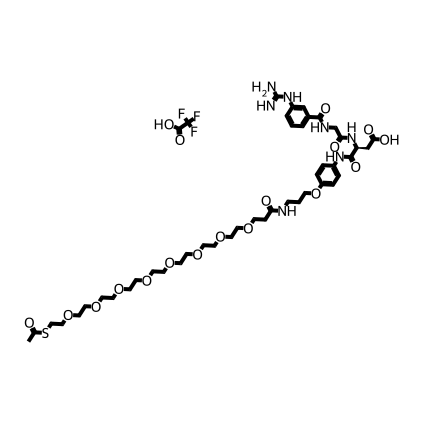 CC(=O)SCCOCCOCCOCCOCCOCCOCCOCCOCCC(=O)NCCCOc1ccc(NC(=O)[C@H](CC(=O)O)NC(=O)CNC(=O)c2cccc(NC(=N)N)c2)cc1.O=C(O)C(F)(F)F